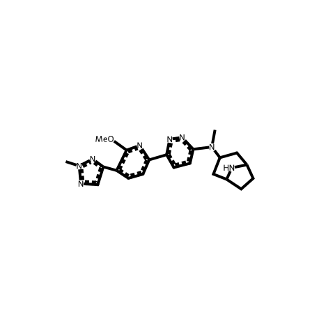 COc1nc(-c2ccc(N(C)C3CC4CCC(C3)N4)nn2)ccc1-c1cnn(C)n1